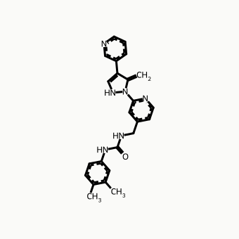 C=C1C(c2cccnc2)=CNN1c1cc(CNC(=O)Nc2ccc(C)c(C)c2)ccn1